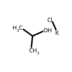 CC(C)O.[Cl][K]